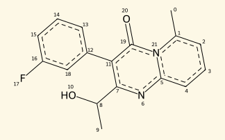 Cc1cccc2nc(C(C)O)c(-c3cccc(F)c3)c(=O)n12